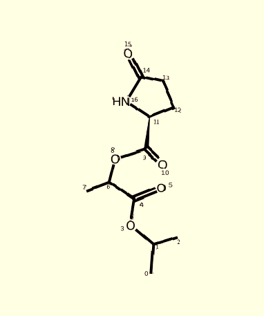 CC(C)OC(=O)C(C)OC(=O)[C@@H]1CCC(=O)N1